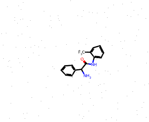 NC(C(=O)Nc1ccccc1C(F)(F)F)c1ccccc1